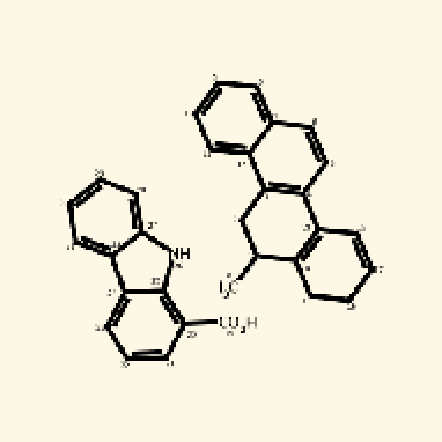 CC1Cc2c(ccc3ccccc23)C2=C1CCC=C2.O=C(O)c1cccc2c1[nH]c1ccccc12